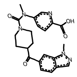 CN(C(=O)N1CCC(C(=O)c2ccc3cnn(C)c3c2)CC1)c1ccc(C(=O)O)nc1